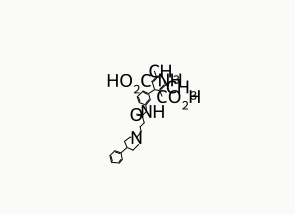 CC1=C(C(=O)O)C(c2cccc(NC(=O)CCCN3CCC(c4ccccc4)CC3)c2)C(C(=O)O)=C(C)N1